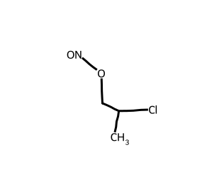 CC(Cl)CON=O